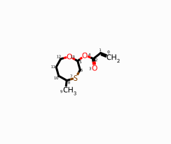 C=CC(=O)OC1CSC(C)CCCO1